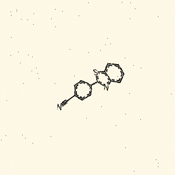 N#Cc1ccc(-c2nc3ccccc3s2)cc1